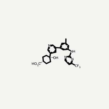 Cc1cc(Nc2nccc(C(F)(F)F)n2)cc(-c2cncc([C@]3(O)CC[C@@H](C(=O)O)CC3)c2)c1